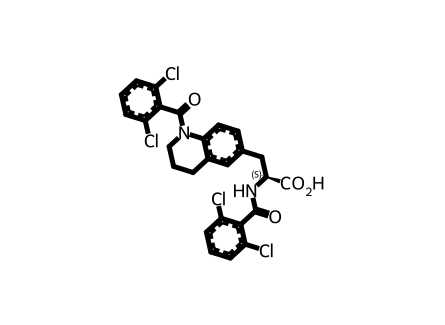 O=C(N[C@@H](Cc1ccc2c(c1)CCCN2C(=O)c1c(Cl)cccc1Cl)C(=O)O)c1c(Cl)cccc1Cl